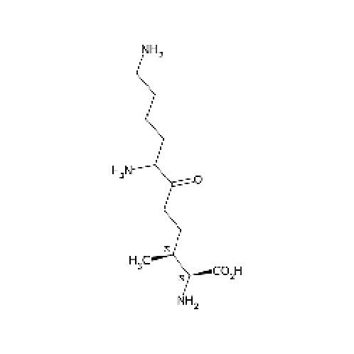 C[C@@H](CCC(=O)C(N)CCCCN)[C@H](N)C(=O)O